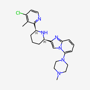 Cc1c(Cl)ccnc1[C@@H]1CCC[C@H](c2cn3c(N4CCN(C)CC4)cccc3n2)N1